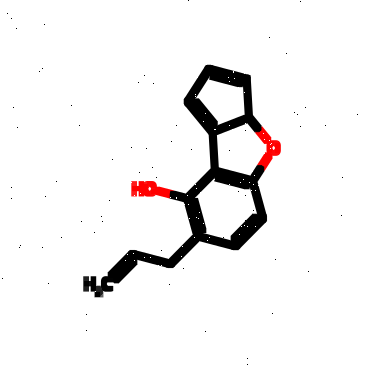 C=CCc1ccc2c(c1O)C1=CC=CC1O2